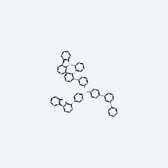 c1ccc(-c2cccc(-c3ccc(N(c4ccc(-c5cccc6c5oc5ccccc56)cc4)c4cccc(-c5ccccc5-c5ccccc5-n5c6ccccc6c6ccccc65)c4)cc3)c2)cc1